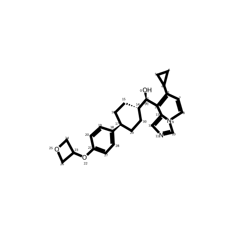 O[C@@H](c1c(C2CC2)ccn2cncc12)[C@H]1CC[C@H](c2ccc(OC3COC3)cc2)CC1